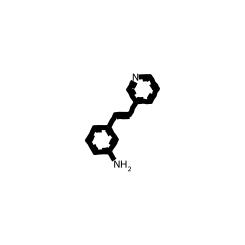 Nc1cccc(C=Cc2cccnc2)c1